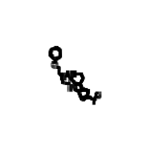 CC(=O)c1ccc2[nH]c3c(c2c1)CCN[C@@]31CCN(CCOc2ccccc2)C1